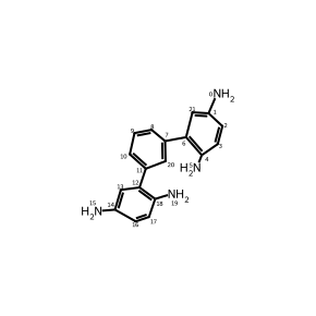 Nc1ccc(N)c(-c2cccc(-c3cc(N)ccc3N)c2)c1